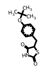 CC(C)(C)Oc1ccc(CC2SC(=O)NC2=O)cc1